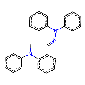 CN(c1ccccc1)c1ccccc1C=NN(c1ccccc1)c1ccccc1